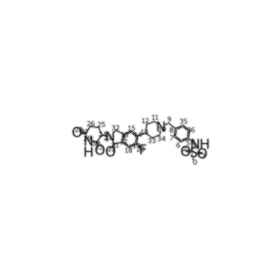 CS(=O)(=O)Nc1ccc(CN2CCC(c3cc4c(cc3F)C(=O)N(C3CCC(=O)NC3=O)C4)CC2)cc1